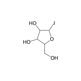 OCC1OC(I)C(O)C1O